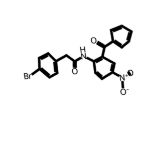 O=C(Cc1ccc(Br)cc1)Nc1ccc([N+](=O)[O-])cc1C(=O)c1ccccc1